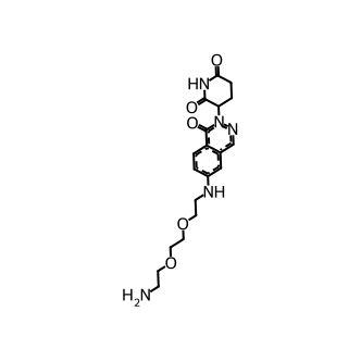 NCCOCCOCCNc1ccc2c(=O)n(C3CCC(=O)NC3=O)ncc2c1